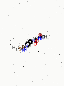 CSc1nnc(N2CCc3ccc(N4C[C@H](CNC(C)=O)OC4=O)cc3CC2)s1